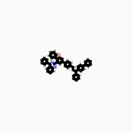 c1ccc(-c2ccc(C(CCc3ccc(-c4cc(-c5nc(-c6ccccc6)c6ccccc6n5)c5c(c4)oc4ccccc45)cc3)c3ccccc3)cc2)cc1